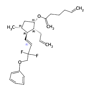 C=CCCCC(=C)O[C@H]1C[C@@H](C)[C@H](/C=C/C(F)(F)COc2ccccc2)[C@H]1CC=C